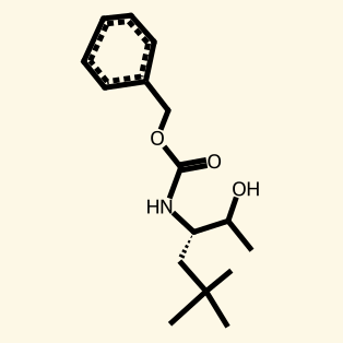 CC(O)[C@H](CC(C)(C)C)NC(=O)OCc1ccccc1